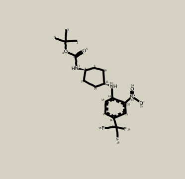 CC(C)(C)OC(=O)N[C@H]1CC[C@H](Nc2ccc(C(F)(F)F)cc2[N+](=O)[O-])CC1